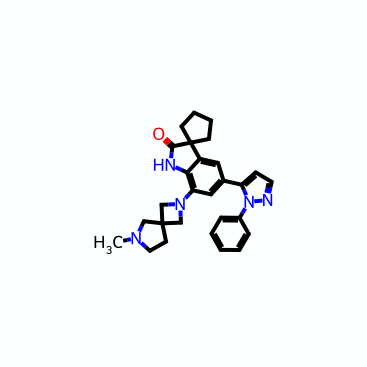 CN1CCC2(C1)CN(c1cc(-c3ccnn3-c3ccccc3)cc3c1NC(=O)C31CCCC1)C2